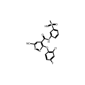 CS(=N)(=O)c1cccc(NC(=O)c2cc(C#N)nnc2Oc2ccc(F)cc2Cl)c1